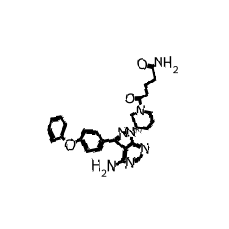 NC(=O)CCCC(=O)N1CCC[C@@H](n2nc(-c3ccc(Oc4ccccc4)cc3)c3c(N)ncnc32)C1